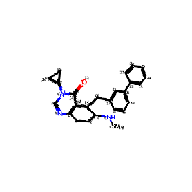 CSNC1CCc2ncn(C3CC3)c(=O)c2C1Cc1cccc(-c2ccccc2)c1